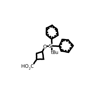 CC(C)(C)[Si](OC1CC(C(=O)O)C1)(c1ccccc1)c1ccccc1